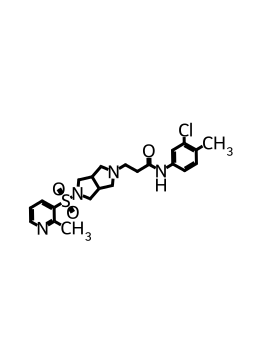 Cc1ccc(NC(=O)CCN2CC3CN(S(=O)(=O)c4cccnc4C)CC3C2)cc1Cl